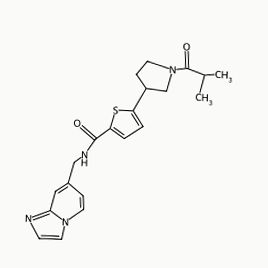 CC(C)C(=O)N1CCC(c2ccc(C(=O)NCc3ccn4ccnc4c3)s2)C1